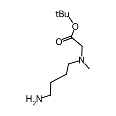 CN(CCCCN)CC(=O)OC(C)(C)C